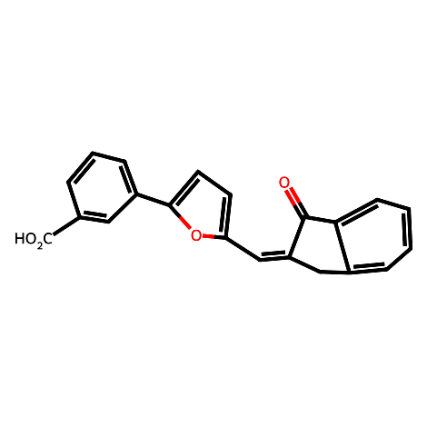 O=C(O)c1cccc(-c2ccc(C=C3Cc4ccccc4C3=O)o2)c1